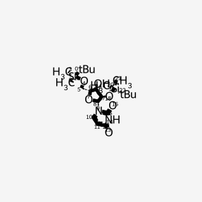 CC(C)(C)[Si](C)(C)OC[C@H]1O[C@@H](n2ccc(=O)[nH]c2=O)[C@H](O[Si](C)(C)C(C)(C)C)[C@@H]1O